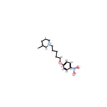 CC1CCCN(CCCCCOc2ccc([N+](=O)[O-])cc2)C1